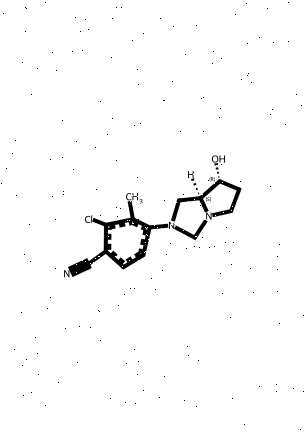 Cc1c(N2C[C@H]3[C@H](O)CCN3C2)ccc(C#N)c1Cl